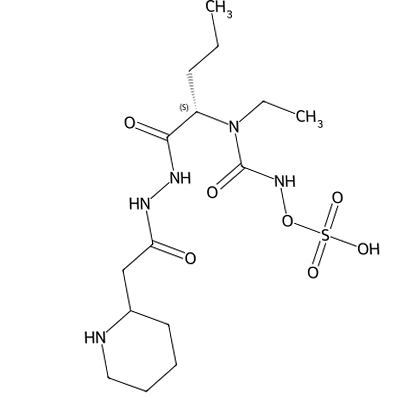 CCC[C@@H](C(=O)NNC(=O)CC1CCCCN1)N(CC)C(=O)NOS(=O)(=O)O